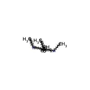 CCCCCCCC/C=C\CCCCCCCC(=O)N(C(=O)CCCCCCC/C=C\CCCCCCCC)C(P)CCCCCCC